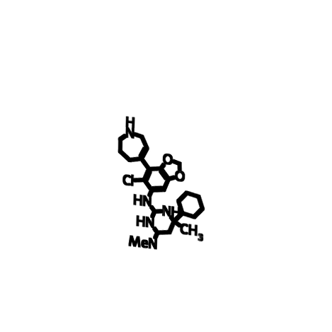 CNC1CC(C)(C2CCCCC2)NC(Nc2cc3c(c(C4=CCNCCC4)c2Cl)OCO3)N1